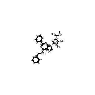 CNC(=O)[C@H]1O[C@H](n2cnc3c(NCc4ccccc4)nc(-c4ccccc4)nc32)[C@@H](O)[C@@H]1O